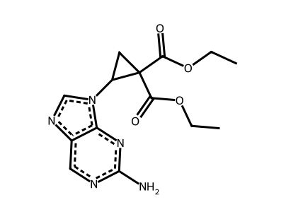 CCOC(=O)C1(C(=O)OCC)CC1n1cnc2cnc(N)nc21